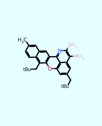 Bc1nc2c3c(cc(CC(C)(C)C)cc3c1B)Oc1c-2cc2cc(C)ccc2c1CC(C)(C)C